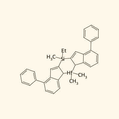 CC[Si]1(C)C2=Cc3c(-c4ccccc4)cccc3[CH]2[Hf]([CH3])([CH3])[CH]2C1=Cc1c(-c3ccccc3)cccc12